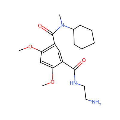 COc1cc(OC)c(C(=O)N(C)C2CCCCC2)cc1C(=O)NCCN